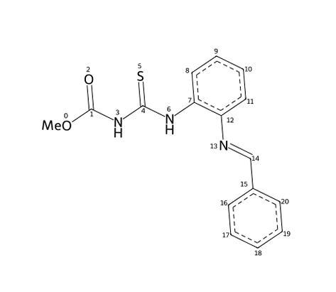 COC(=O)NC(=S)Nc1ccccc1N=Cc1ccccc1